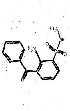 NNS(=O)(=O)c1cccc(C(=O)c2ccccc2)c1N